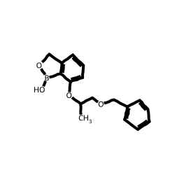 CC(COCc1ccccc1)Oc1cccc2c1B(O)OC2